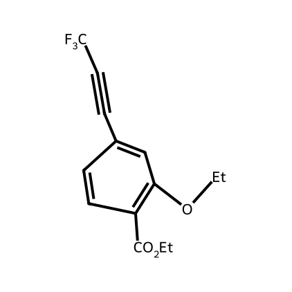 CCOC(=O)c1ccc(C#CC(F)(F)F)cc1OCC